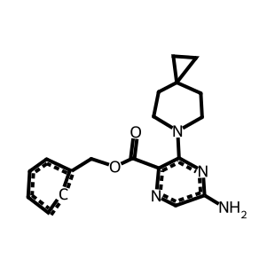 Nc1cnc(C(=O)OCc2ccccc2)c(N2CCC3(CC2)CC3)n1